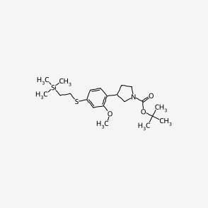 COc1cc(SCC[Si](C)(C)C)ccc1C1CCN(C(=O)OC(C)(C)C)C1